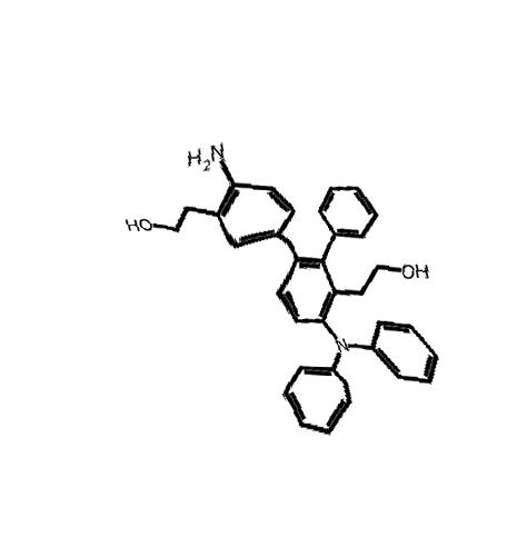 Nc1ccc(-c2ccc(N(c3ccccc3)c3ccccc3)c(CCO)c2-c2ccccc2)cc1CCO